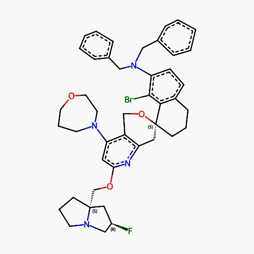 F[C@H]1CN2CCC[C@@]2(COc2cc(N3CCCOCC3)c3c(n2)C[C@]2(CCCc4ccc(N(Cc5ccccc5)Cc5ccccc5)c(Br)c42)OC3)C1